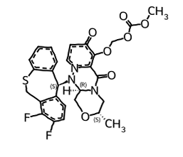 COC(=O)OCOc1c2n(ccc1=O)N([C@@H]1c3ccccc3SCc3c1ccc(F)c3F)[C@@H]1CO[C@@H](C)CN1C2=O